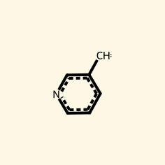 [CH]c1cccnc1